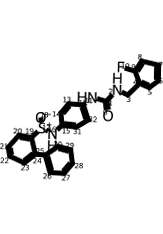 O=C(NCc1ccccc1F)Nc1ccc(N[S+]([O-])c2ccccc2-c2ccccc2)cc1